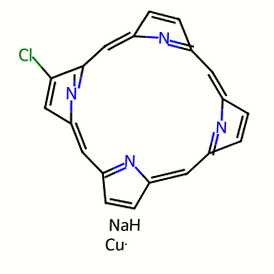 ClC1=CC2=CC3=NC(=CC4=NC(=CC5=NC(=CC1=N2)C=C5)C=C4)C=C3.[Cu].[NaH]